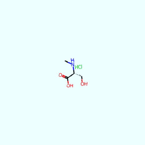 CN[C@H](CO)C(=O)O.Cl